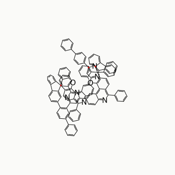 c1ccc(-c2ccc(-c3cc(-c4ccc5nc(-c6ccccc6)c6ccc7c(c6c5c4)Oc4ccccc4C74c5ccccc5-c5ccc(-c6ccc(-c7ccccc7)cc6-c6cc(-c7ccc8nc(-c9ccccc9)c9ccc%10c(c9c8c7)Oc7ccccc7C%107c8ccccc8-c8ccccc87)nc(-c7ccccc7)n6)cc54)nc(-c4ccccc4)n3)cc2)cc1